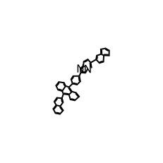 c1ccc2cc(-c3ccc4nc(-c5ccc(-c6c7ccccc7c(-c7ccc8ccccc8c7)c7ccccc67)cc5)cn4c3)ccc2c1